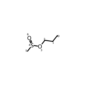 [CH2]CCOS(C)=O